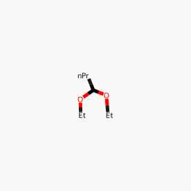 C[CH]CC(OCC)OCC